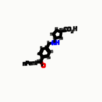 CCCCCC(=O)c1ccc(CN[C@H]2CC[C@@H](C(=O)O)C2)cc1